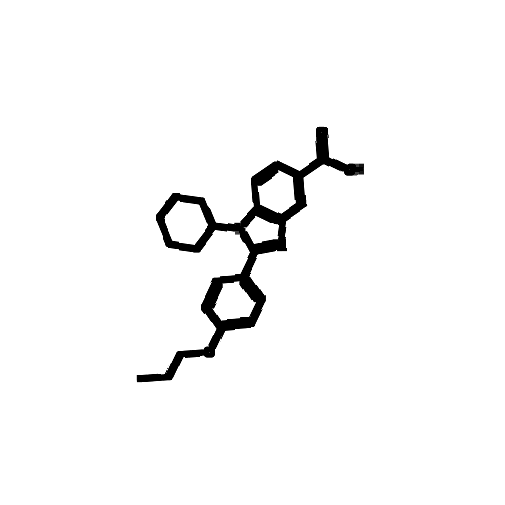 CCCOc1ccc(-c2nc3cc(C(=O)O)ccc3n2C2CCCCC2)cc1